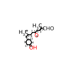 C/C(C=O)=C\CC(=O)CC[C@H](C)C[C@H]1CC[C@H](O)CC1